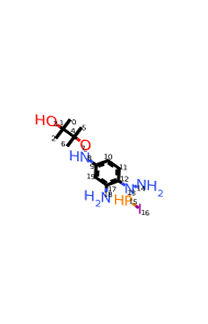 CC(C)(O)C(C)(C)ONc1ccc(N(N)PI)c(N)c1